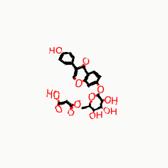 O=C(O)CC(=O)OCC1O[C@@H](Oc2ccc3c(=O)c(-c4ccc(O)cc4)coc3c2)C(O)[C@@H](O)[C@@H]1O